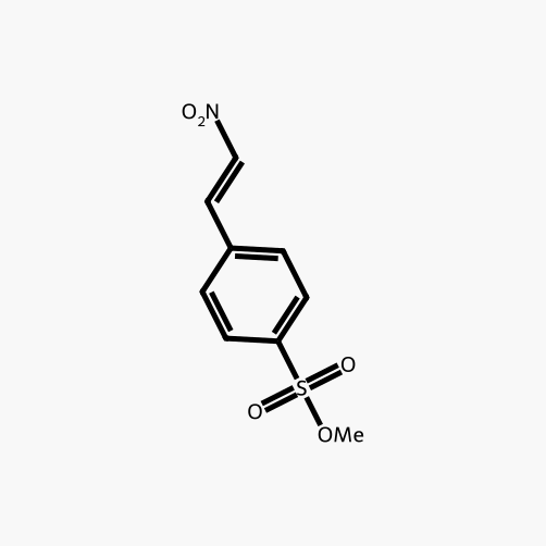 COS(=O)(=O)c1ccc(/C=C/[N+](=O)[O-])cc1